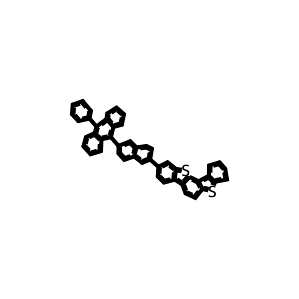 c1ccc(-c2c3ccccc3c(-c3ccc4cc(-c5ccc6c(c5)sc5c6ccc6sc7ccccc7c65)ccc4c3)c3ccccc23)cc1